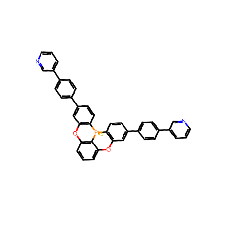 S=P12c3ccc(-c4ccc(-c5cccnc5)cc4)cc3Oc3cccc(c31)Oc1cc(-c3ccc(-c4cccnc4)cc3)ccc12